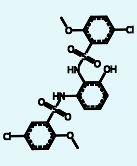 COc1ccc(Cl)cc1S(=O)(=O)Nc1cccc(O)c1NS(=O)(=O)c1cc(Cl)ccc1OC